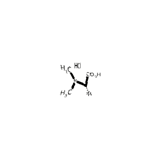 Cl.[3H][C@@H](C(=O)O)N(C)C